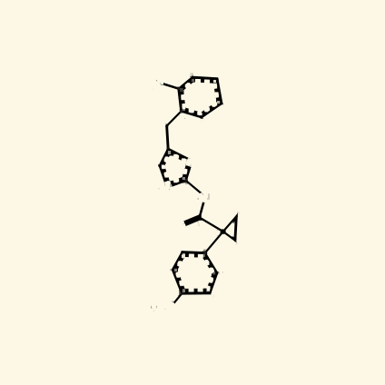 COc1ccc(C2(C(=O)Nc3ncc(Cc4ccccc4N)s3)CC2)cc1